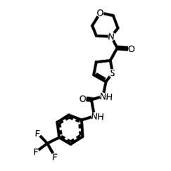 O=C(NC1=CCC(C(=O)N2CCOCC2)S1)Nc1ccc(C(F)(F)F)cc1